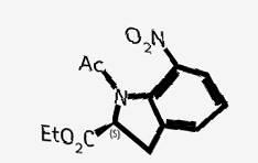 CCOC(=O)[C@@H]1Cc2cccc([N+](=O)[O-])c2N1C(C)=O